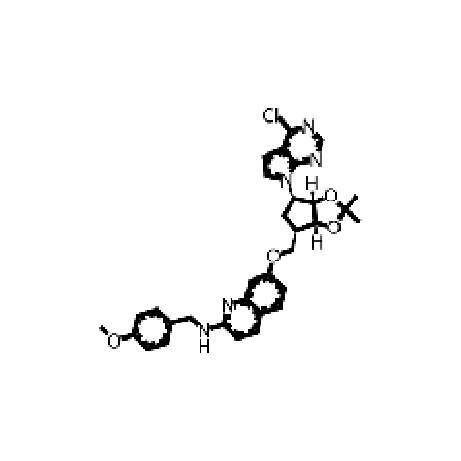 COc1ccc(CNc2ccc3ccc(OC[C@H]4C[C@@H](n5ccc6c(Cl)ncnc65)[C@@H]5OC(C)(C)O[C@H]45)cc3n2)cc1